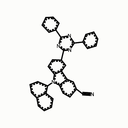 N#Cc1ccc2c(c1)c1cc(-c3nc(-c4ccccc4)nc(-c4ccccc4)n3)ccc1n2-c1cccc2ccccc12